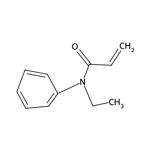 C=CC(=O)N(CC)c1ccccc1